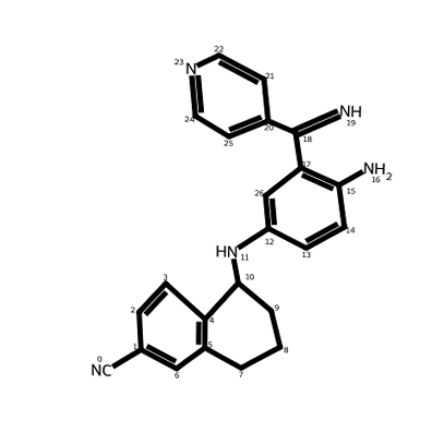 N#Cc1ccc2c(c1)CCCC2Nc1ccc(N)c(C(=N)c2ccncc2)c1